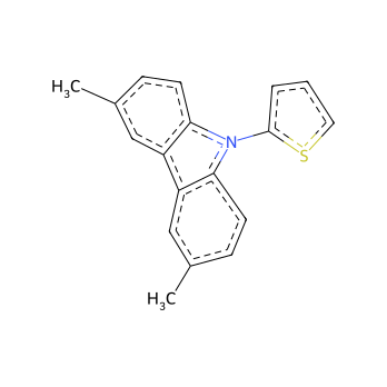 Cc1ccc2c(c1)c1cc(C)ccc1n2-c1cccs1